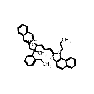 C=C(/C=C/C=C1\Oc2ccc3ccccc3c2N1CCC)C(C)(Cc1ccc2ccccc2c1)c1ccccc1CC